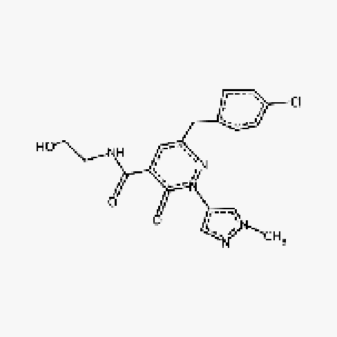 Cn1cc(-n2nc(Cc3ccc(Cl)cc3)cc(C(=O)NCCO)c2=O)cn1